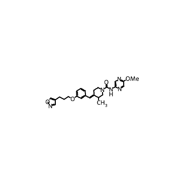 COc1cnc(NC(=O)N2CCC(=Cc3cccc(OCCCc4cnoc4)c3)C(C)C2)cn1